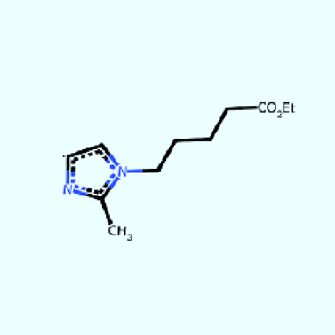 CCOC(=O)CCCCn1c[c]nc1C